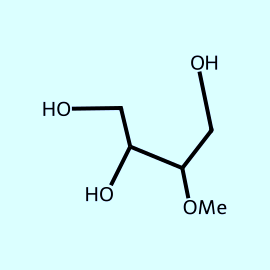 COC(CO)C(O)CO